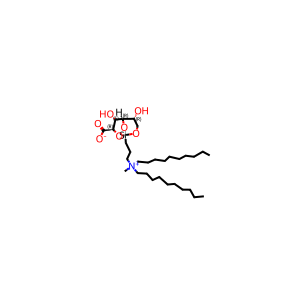 CCCCCCCCCC[N+](C)(CCCCCCCCCC)CCC[Si]12OC[C@@H](O)[C@@H](O1)[C@H](O)[C@H](C(=O)[O-])O2